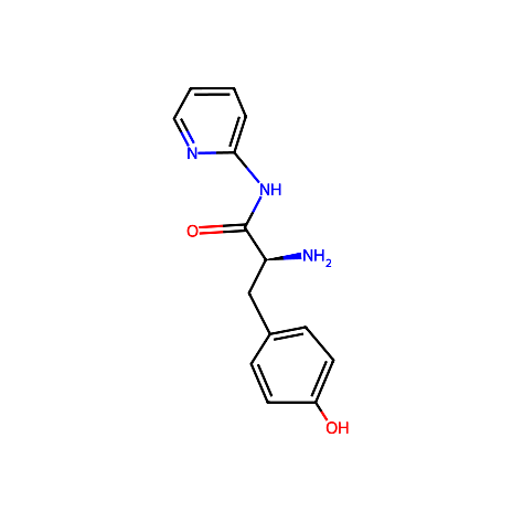 N[C@@H](Cc1ccc(O)cc1)C(=O)Nc1ccccn1